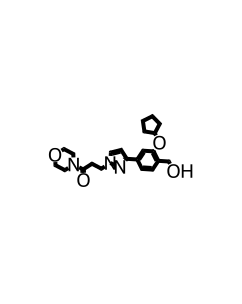 O=C(CCn1ccc(-c2ccc(CO)c(OC3CCCC3)c2)n1)N1CCOCC1